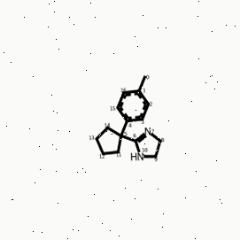 Cc1ccc(C2(C3=NCCN3)CCCC2)cc1